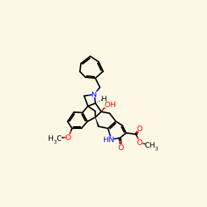 COC(=O)c1cc2c([nH]c1=O)C[C@@]13CC4(CN(CC5=CCC=CC=C5)[C@H]4[C@]1(O)C2)c1ccc(OC)cc13